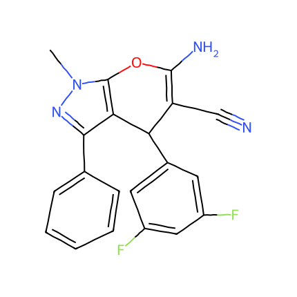 Cn1nc(-c2ccccc2)c2c1OC(N)=C(C#N)C2c1cc(F)cc(F)c1